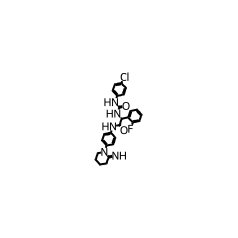 N=C1CCCCN1c1ccc(NC(=O)[C@H](NC(=O)Nc2ccc(Cl)cc2)c2ccccc2F)cc1